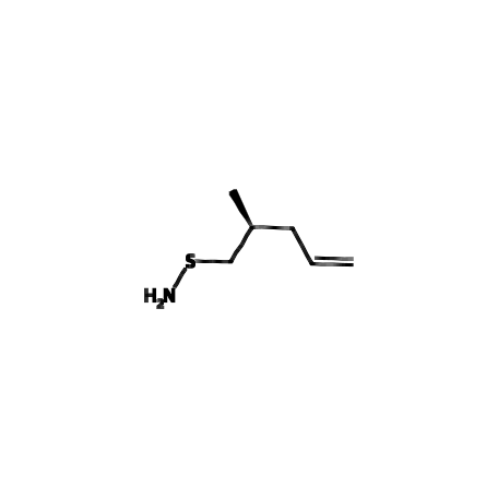 C=CC[C@H](C)CSN